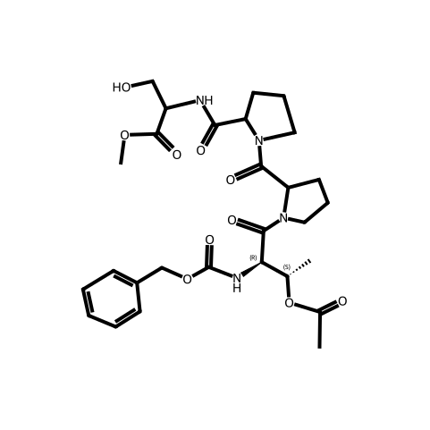 COC(=O)C(CO)NC(=O)C1CCCN1C(=O)C1CCCN1C(=O)[C@H](NC(=O)OCc1ccccc1)[C@H](C)OC(C)=O